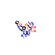 CNC(=O)C1OC(n2cnc3c(N)nc(C#CCN(Cc4cccs4)C(=O)c4ccccc4)nc32)[C@H](O)[C@@H]1O